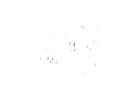 COc1cccc(C(=O)NC2C(N)C(F)=NN2c2ccccc2)c1